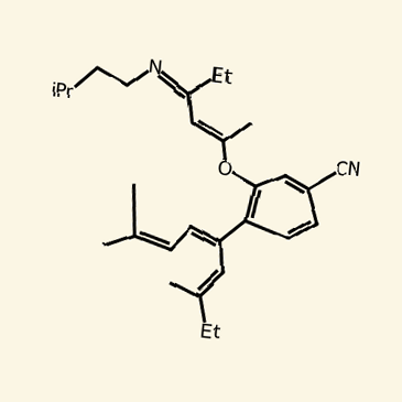 CCC(/C=C(\C)Oc1cc(C#N)ccc1C(/C=C(\C)CC)=C/C=C(C)C)=N/CCC(C)C